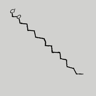 CCCCCCCCCCCCCCCCOCCl